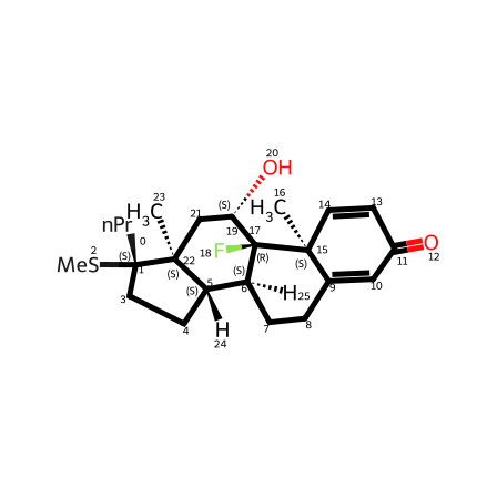 CCC[C@]1(SC)CC[C@H]2[C@@H]3CCC4=CC(=O)C=C[C@]4(C)[C@@]3(F)[C@@H](O)C[C@@]21C